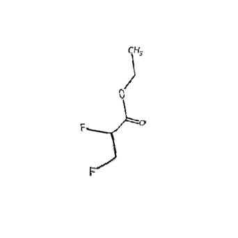 CCOC(=O)C(F)CF